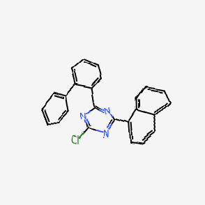 Clc1nc(-c2ccccc2-c2ccccc2)nc(-c2cccc3ccccc23)n1